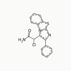 NC(=O)C(Cl)c1c(-c2ccccc2)nc2sc3ccccc3n12